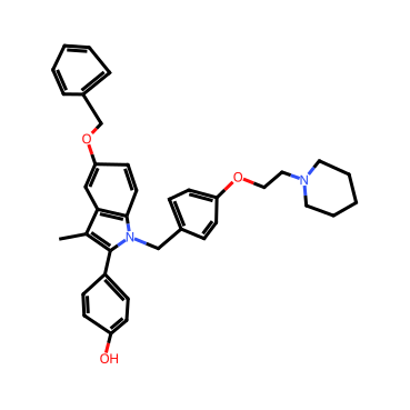 Cc1c(-c2ccc(O)cc2)n(Cc2ccc(OCCN3CCCCC3)cc2)c2ccc(OCc3ccccc3)cc12